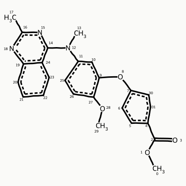 COC(=O)c1ccc(Oc2cc(N(C)c3nc(C)nc4ccccc34)ccc2OC)cc1